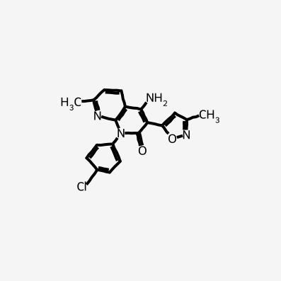 Cc1cc(-c2c(N)c3ccc(C)nc3n(-c3ccc(Cl)cc3)c2=O)on1